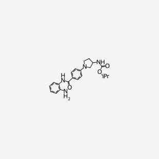 CC(C)OC(=O)NC1CCN(c2ccc(C(=O)Nc3ccccc3N)cc2)C1